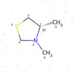 C[C@H]1CSCN1C